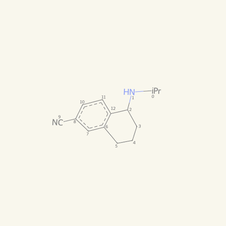 CC(C)NC1CCCc2cc(C#N)ccc21